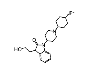 CC(C)[C@H]1CC[C@@H](N2CCC(N3C(=O)C(CCO)c4ccccc43)CC2)CC1